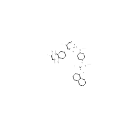 Cc1nc2ccc(-c3nc(Nc4ccc(NC(=O)Nc5cccc6ccccc56)cc4)ncc3F)cc2nc1C